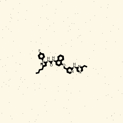 CCCCc1cc(NC(=O)Nc2ccc(OCc3ccnc(Nc4cncc(CC)n4)c3)c3ccccc23)n(-c2ccc(F)cc2)n1